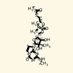 CNc1nc(=O)n2ccn([C@@H]3O[C@H](COP(=O)(OCCSC(C)=O)N(C)C)C(O)[C@]3(C)O)c2n1